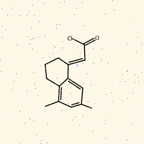 Cc1cc(C)c2c(c1)/C(=C/C(=O)Cl)CCC2